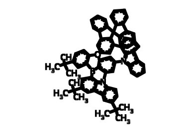 CC(C)(C)c1ccc2c(c1)B1c3c(cc(-n4c5ccccc5c5cccc(-c6cccc7c6C6(c8ccccc8-c8ccccc86)c6ccccc6-7)c54)cc3-n3c4ccc(C(C)(C)C)cc4c4cc(C(C)(C)C)cc1c43)O2